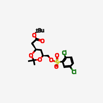 CC(C)(C)OC(=O)C[C@H]1C[C@@H](COS(=O)(=O)c2cc(Cl)ccc2Cl)OC(C)(C)O1